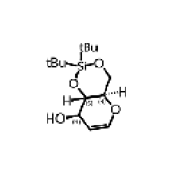 CC(C)(C)[Si]1(C(C)(C)C)OC[C@H]2OC=C[C@@H](O)[C@@H]2O1